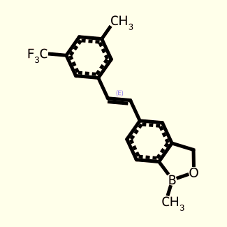 CB1OCc2cc(/C=C/c3cc(C)cc(C(F)(F)F)c3)ccc21